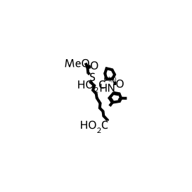 COC(=O)CSCCCCCCCCCCC(=O)O.Cc1cc(C)cc(NC(=O)[C@H]2CCCC[C@H]2C(=O)O)c1